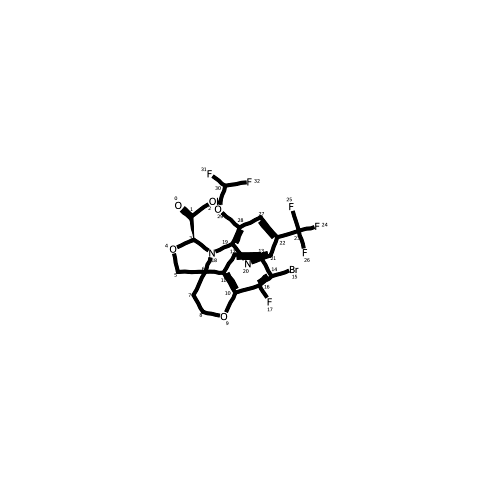 O=C(O)[C@@H]1OCC2(CCOc3c2ccc(Br)c3F)N1c1ncc(C(F)(F)F)cc1OC(F)F